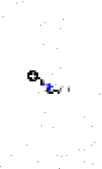 C=CC/C=C\NC=Cc1ccccc1